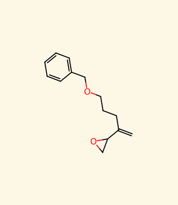 C=C(CCCOCc1ccccc1)C1CO1